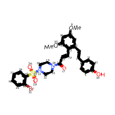 COc1cc(C=Cc2ccc(O)cc2)c(C=CC(=O)N2CCN(S(=O)(=O)c3ccccc3Br)CC2)c(OC)c1